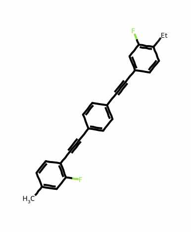 CCc1ccc(C#Cc2ccc(C#Cc3ccc(C)cc3F)cc2)cc1F